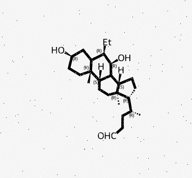 CC[C@@H]1C2C[C@H](O)CC[C@@]2(C)[C@H]2CC[C@]3(C)[C@@H]([C@H](C)CCC=O)CC[C@H]3C2[C@@H]1O